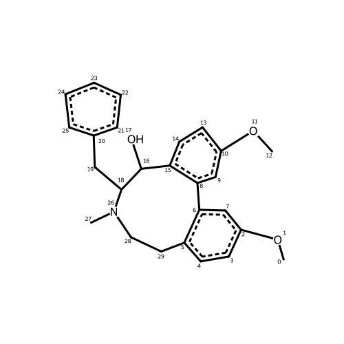 COc1ccc2c(c1)-c1cc(OC)ccc1C(O)C(Cc1ccccc1)N(C)CC2